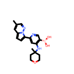 Cc1cnn2c(-c3cc(NC4(C)CCOCC4)c(B(O)O)cn3)ccc2c1